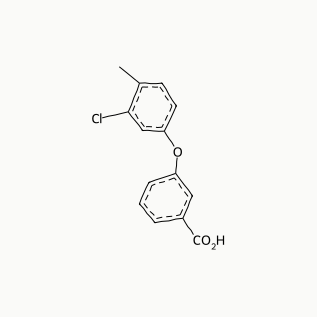 Cc1ccc(Oc2cccc(C(=O)O)c2)cc1Cl